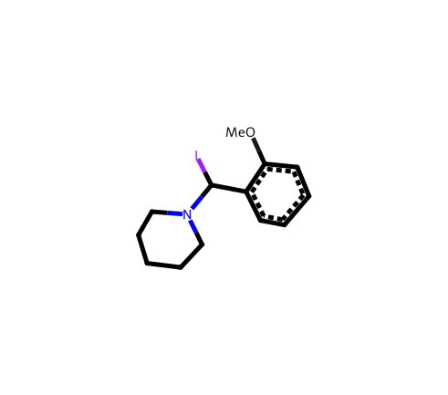 COc1ccccc1C(I)N1CCCCC1